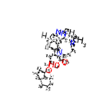 Cc1nn(C)c2c1-c1cccc3c(CCCOc4cccc5c4CCCC5)c(C(=O)O)n(c13)CCCCN(C)C2